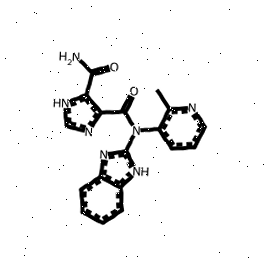 Cc1ncccc1N(C(=O)c1nc[nH]c1C(N)=O)c1nc2ccccc2[nH]1